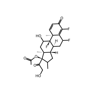 CC(=O)O[C@]1(C(=O)CO)C(C)C[C@H]2[C@@H]3CC(F)C4=C(F)C(=O)C=C[C@]4(C)[C@@]3(F)C(O)C[C@@]21C